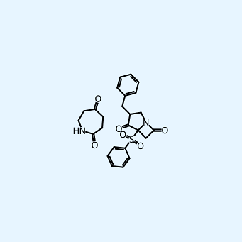 O=C1CC2(S(=O)(=O)c3ccccc3)C(=O)C(Cc3ccccc3)CN12.O=C1CCNC(=O)CC1